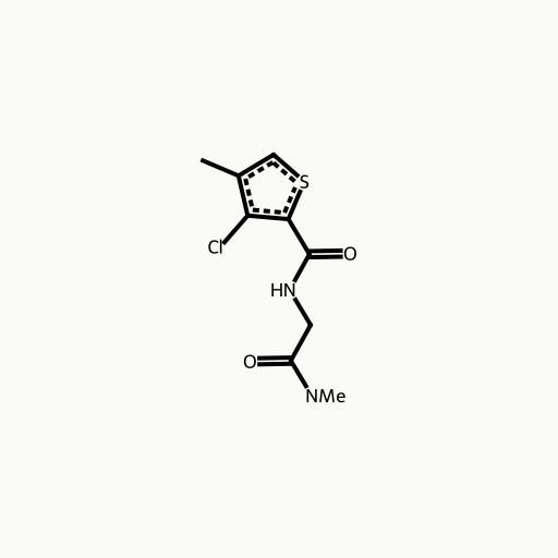 CNC(=O)CNC(=O)c1scc(C)c1Cl